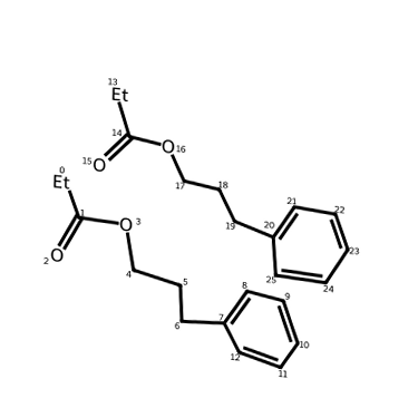 CCC(=O)OCCCc1ccccc1.CCC(=O)OCCCc1ccccc1